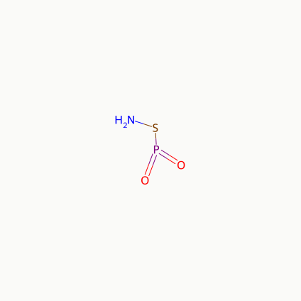 NSP(=O)=O